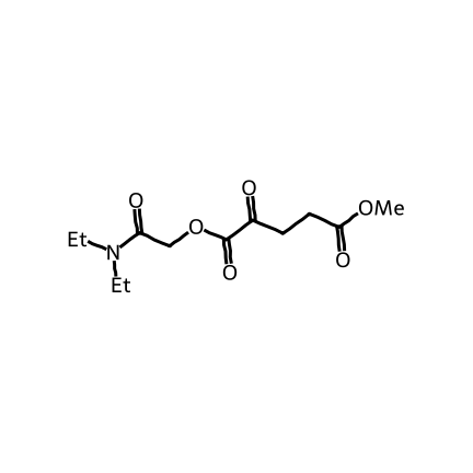 CCN(CC)C(=O)COC(=O)C(=O)CCC(=O)OC